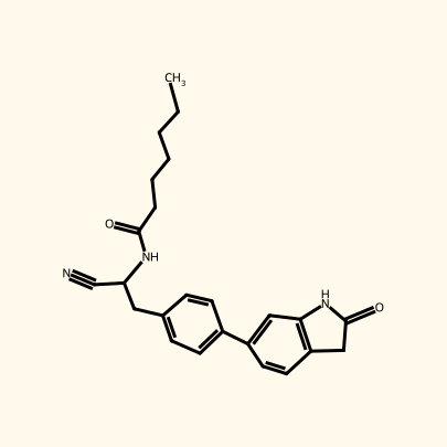 CCCCCCC(=O)NC(C#N)Cc1ccc(-c2ccc3c(c2)NC(=O)C3)cc1